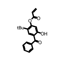 C=CC(=O)Oc1cc(O)c(C(=O)c2ccccc2)cc1C(C)(C)C